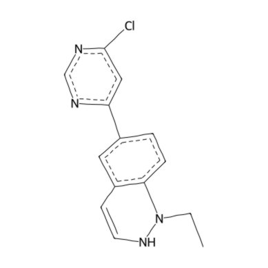 CCN1NC=Cc2cc(-c3cc(Cl)ncn3)ccc21